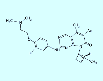 CC(=O)c1c(C)c2cnc(Nc3ccc(OCCN(C)C)c(F)c3)nc2n(C23CC(C2)[C@H]3C)c1=O